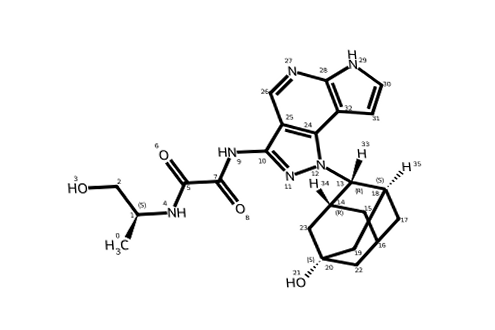 C[C@@H](CO)NC(=O)C(=O)Nc1nn([C@H]2[C@@H]3CC4C[C@H]2C[C@@](O)(C4)C3)c2c1cnc1[nH]ccc12